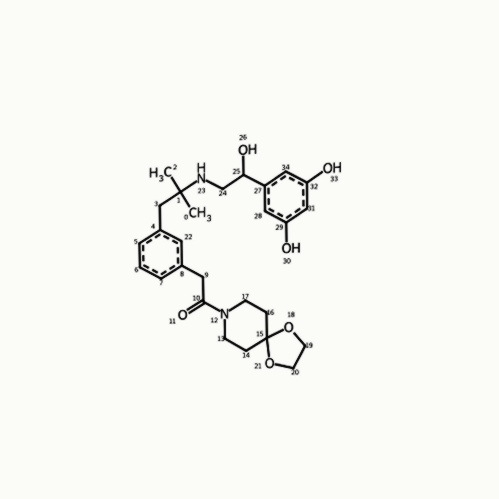 CC(C)(Cc1cccc(CC(=O)N2CCC3(CC2)OCCO3)c1)NCC(O)c1cc(O)cc(O)c1